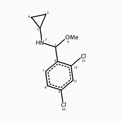 COC(NC1CC1)c1ccc(Cl)cc1Cl